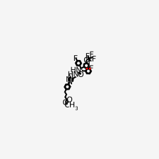 COC(=O)CCCc1ccc(-n2cc(CNC(=O)N[C@](Cc3ccccc3)(c3ccc(F)cc3)c3cc(F)cc(OC(F)(F)C(F)F)c3)nn2)cc1